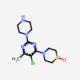 Cc1nc(N2CCNCC2)nc(N2CC[S+]([O-])CC2)c1Br